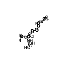 Cc1c(COc2cc(OCc3cncc(C#N)c3)c(CNC[C@@H](O)CC(=O)O)cc2Cl)cccc1-c1cccc(-c2ccc3c(CNC[C@H]4CCC(=O)N4)ccnc3c2)c1C